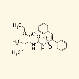 CCOC(=O)C(NC(=O)NS(=O)(=O)C(=Cc1ccccc1)c1ccccc1)C(C)CC